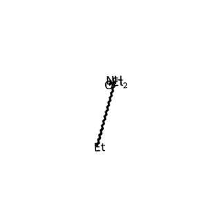 CC/C=C/C=C/C=C/C=C/CCCCCCCCCCCCCCCCCCC(CC)C(N)=O